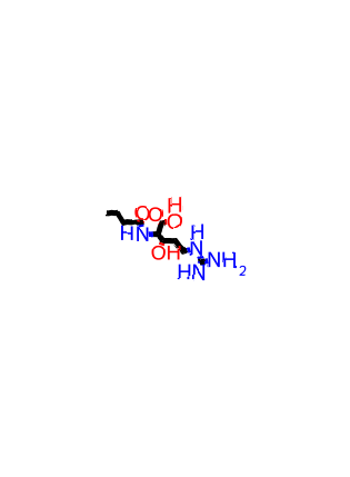 CCCC(=O)NC(C(=O)O)C(O)CCNC(=N)N